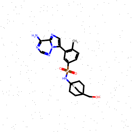 Cc1ccc(S(=O)(=O)NC23CCC(CO)(CC2)CC3)cc1-c1cnc2c(N)ncnn12